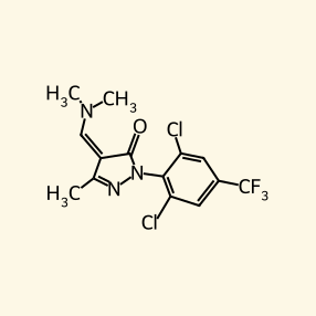 CC1=NN(c2c(Cl)cc(C(F)(F)F)cc2Cl)C(=O)C1=CN(C)C